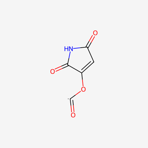 O=[C]OC1=CC(=O)NC1=O